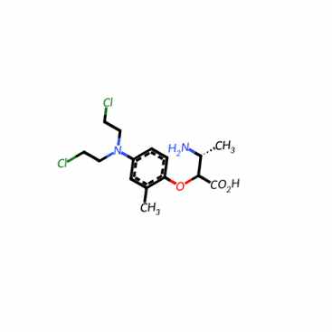 Cc1cc(N(CCCl)CCCl)ccc1OC(C(=O)O)[C@@H](C)N